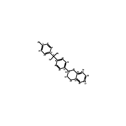 Cc1ccc(C(C)(C)c2ccc(N3CCc4cncnc4C3)cc2)cc1